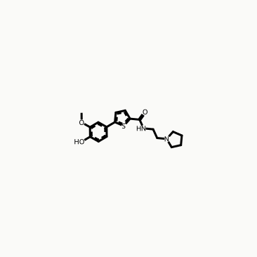 COc1cc(-c2ccc(C(=O)NCCN3CCCC3)s2)ccc1O